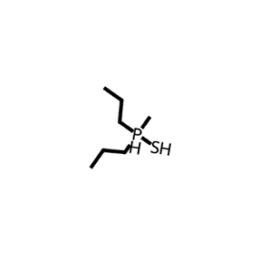 CCC[PH](C)(S)CCC